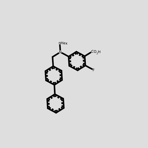 CCCCCCN(Cc1ccc(-c2ccccc2)cc1)c1ccc(F)c(C(=O)O)c1